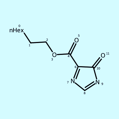 CCCCCCCCOC(=O)C1=NC=NC1=O